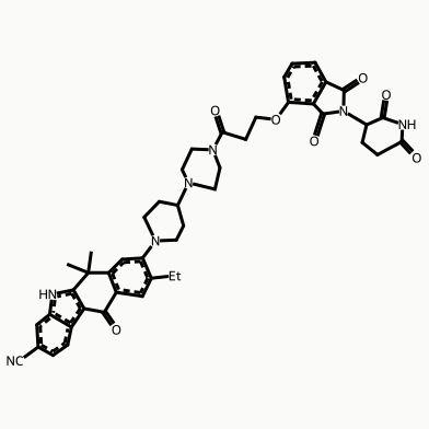 CCc1cc2c(cc1N1CCC(N3CCN(C(=O)CCOc4cccc5c4C(=O)N(C4CCC(=O)NC4=O)C5=O)CC3)CC1)C(C)(C)c1[nH]c3cc(C#N)ccc3c1C2=O